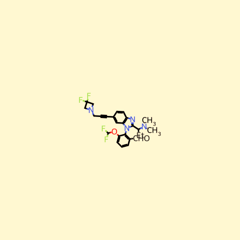 CCC(c1nc2ccc(C#CCN3CC(F)(F)C3)cc2n1-c1c(C=O)cccc1OC(F)F)N(C)C